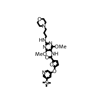 COc1nc(NCCCN2CCOCC2)nc(OC)c1NC(=O)c1ccc(Oc2cncc([Si](C)(C)C)c2)o1